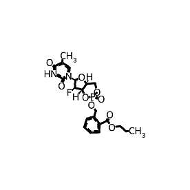 CCCOC(=O)c1ccccc1COP1(=O)OC[C@@H]2O[C@H](n3cc(C)c(=O)[nH]c3=O)[C@H](F)[C@H]2O1